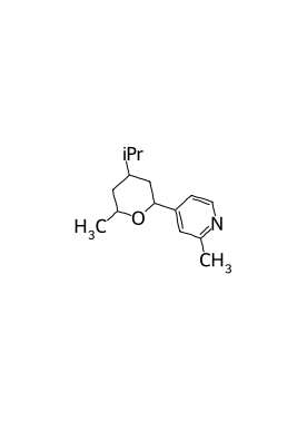 Cc1cc(C2CC(C(C)C)CC(C)O2)ccn1